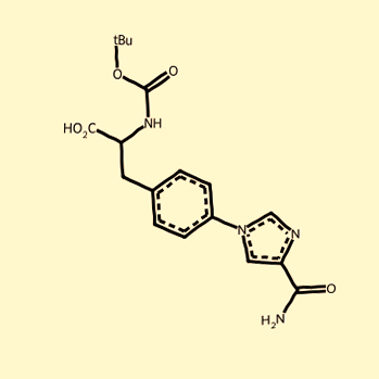 CC(C)(C)OC(=O)NC(Cc1ccc(-n2cnc(C(N)=O)c2)cc1)C(=O)O